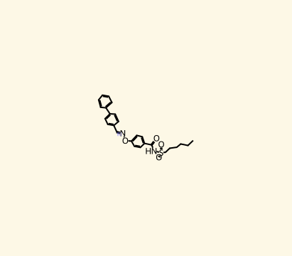 CCCCCCS(=O)(=O)NC(=O)c1ccc(O/N=C/c2ccc(-c3ccccc3)cc2)cc1